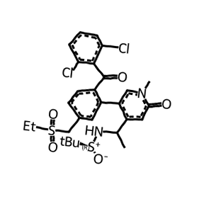 CCS(=O)(=O)Cc1ccc(C(=O)c2c(Cl)cccc2Cl)c(-c2cn(C)c(=O)cc2C(C)N[S@@+]([O-])C(C)(C)C)c1